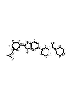 O=C([C@H]1CN(c2ccc3nc(-c4cccc(C5CC5)n4)[nH]c3n2)CCO1)N1CCOCC1